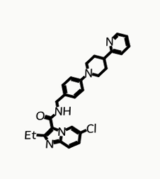 CCc1nc2ccc(Cl)cn2c1C(=O)NCc1ccc(N2CCC(c3ccccn3)CC2)cc1